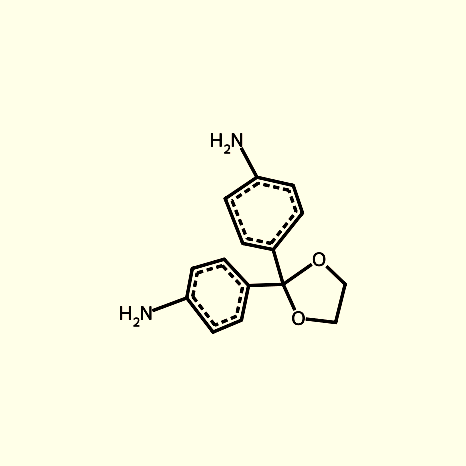 Nc1ccc(C2(c3ccc(N)cc3)OCCO2)cc1